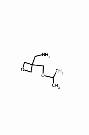 CC(C)OCC1(CN)COC1